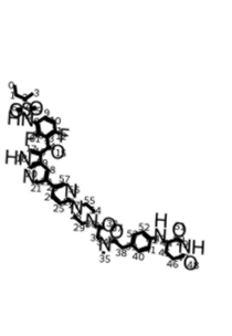 CCC(C)S(=O)(=O)Nc1ccc(F)c(C(=O)c2c[nH]c3ncc(-c4ccc(N5CCN(C(=O)CN(C)C(=O)Cc6ccc(NC7CCC(=O)NC7=O)cc6)CC5)nc4)cc23)c1F